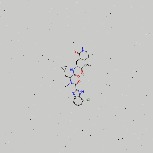 COC(=O)[C@H](C[C@@H]1CCCNC1=O)NC(=O)[C@H](CC1CC1)N(C)C(=O)c1nc2cccc(Cl)c2[nH]1